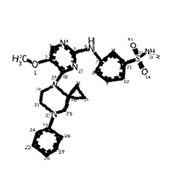 COc1cnc(Nc2cccc(S(N)(=O)=O)c2)nc1N1CCN(c2ccccc2)CC12CC2